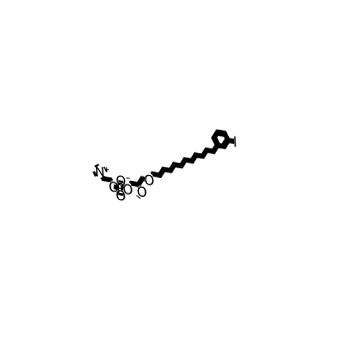 COC(COCCCCCCCCCCCCc1cccc(I)c1)COP(=O)([O-])OCC[N+](C)(C)C